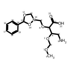 COCOC(CN)C(OCN1COC(c2ccccc2)O1)C(=O)O